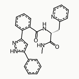 CNC(=O)[C@@H](Cc1ccccn1)NC(=O)c1ccccc1-c1cc(-c2ccccc2)[nH]n1